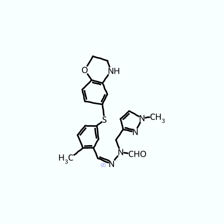 Cc1ccc(Sc2ccc3c(c2)NCCO3)cc1/C=N\N(C=O)Cc1ccn(C)n1